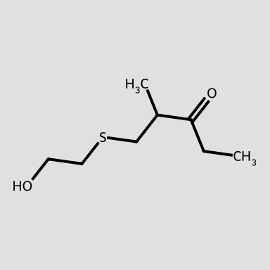 CCC(=O)C(C)CSCCO